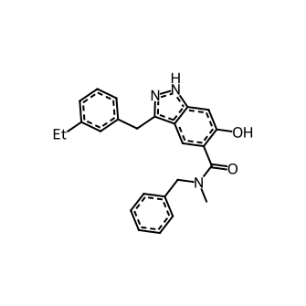 CCc1cccc(Cc2n[nH]c3cc(O)c(C(=O)N(C)Cc4ccccc4)cc23)c1